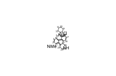 CNc1ccc(CNC2CCCCC2)c(-c2cccc(Cl)c2)c1C1CCNCC1